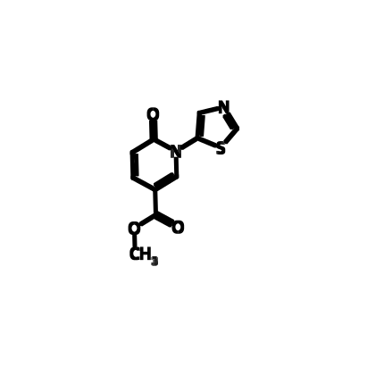 COC(=O)c1ccc(=O)n(-c2cncs2)c1